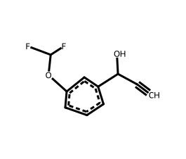 C#CC(O)c1cccc(OC(F)F)c1